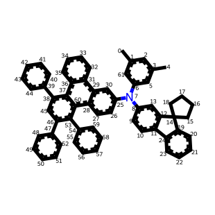 Cc1cc(C)cc(N(c2ccc3c(c2)C2(CCCC2)c2ccccc2-3)c2ccc3c(c2)c2ccccc2c2c(-c4ccccc4)cc(-c4ccccc4)c(-c4ccccc4)c32)c1